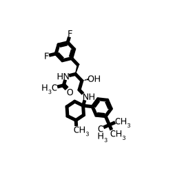 CC(=O)N[C@@H](Cc1cc(F)cc(F)c1)[C@H](O)CNC1(c2cccc(C(C)(C)C)c2)CCCC(C)C1